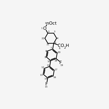 CCCCCCCCOC1CCC(C(=O)O)(c2ccc(-c3ccc(F)cc3)c(F)c2)CC1